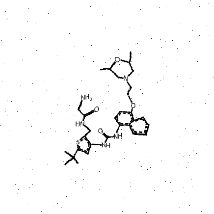 CC1CN(CCOc2ccc(NC(=O)Nc3cc(C(C)(C)C)sc3CNC(=O)CN)c3ccccc23)CC(C)O1